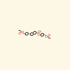 C=CC(=O)OCc1ccc(-c2ccc3cc(C(=O)Oc4ccc(COC(=O)C=C)cc4F)ccc3c2)cc1